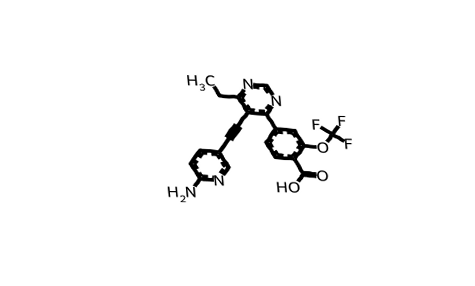 CCc1ncnc(-c2ccc(C(=O)O)c(OC(F)(F)F)c2)c1C#Cc1ccc(N)nc1